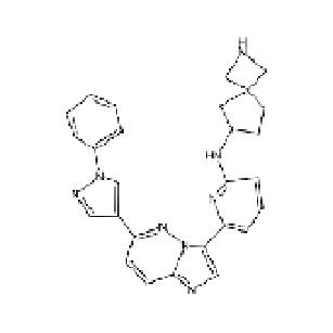 c1ccc(-n2cc(-c3ccc4ncc(-c5cccc(NC6CCC7(CNC7)C6)n5)n4n3)cn2)cc1